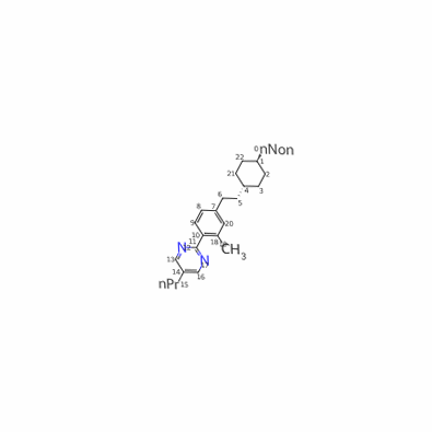 CCCCCCCCC[C@H]1CC[C@H](CCc2ccc(-c3ncc(CCC)cn3)c(C)c2)CC1